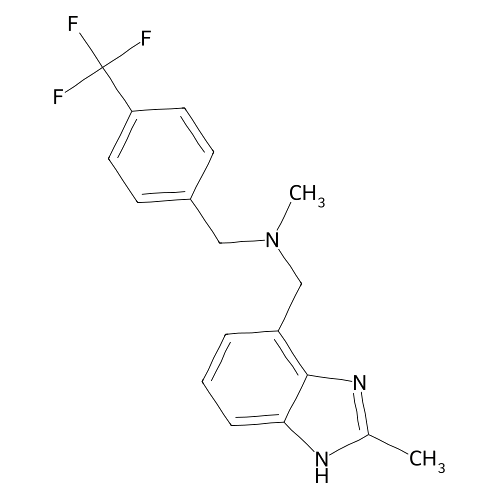 Cc1nc2c(CN(C)Cc3ccc(C(F)(F)F)cc3)cccc2[nH]1